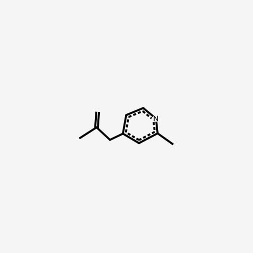 C=C(C)Cc1ccnc(C)c1